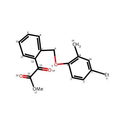 CCc1ccc(OCc2ccccc2C(=O)C(=O)OC)c(C)c1